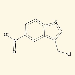 O=[N+]([O-])c1ccc2scc(CCl)c2c1